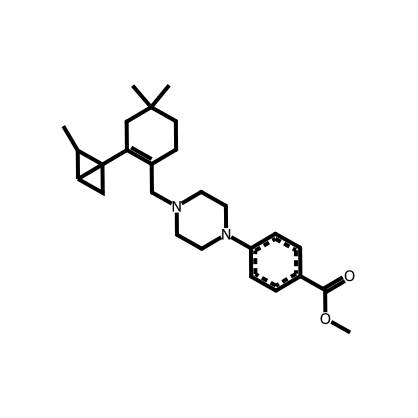 COC(=O)c1ccc(N2CCN(CC3=C(C45CC4C5C)CC(C)(C)CC3)CC2)cc1